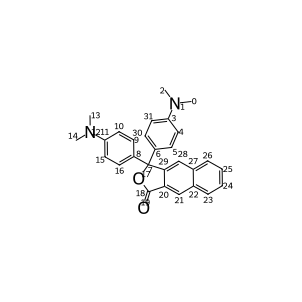 CN(C)c1ccc(C2(c3ccc(N(C)C)cc3)OC(=O)c3cc4ccccc4cc32)cc1